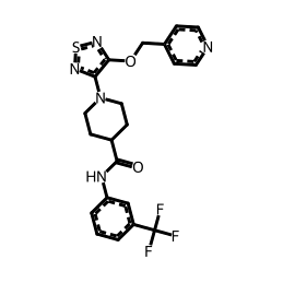 O=C(Nc1cccc(C(F)(F)F)c1)C1CCN(c2nsnc2OCc2ccncc2)CC1